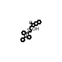 O=C1/C(=C/c2ccc(N3c4ccccc4N(c4ccccc4)c4ccccc43)s2)C(O)c2cc3ccccc3cc21